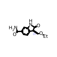 CCO/C=C1\C(=O)Nc2cc(C(N)=O)ccc21